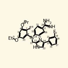 CCOc1cc(OC(C)C)c(F)c(N(Cc2nc(-c3cccc(F)c3)c[nH]2)c2ccc(C(=N)N)cc2)c1